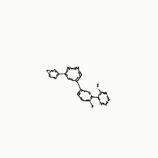 Fc1ccc(-c2cnnc(-c3ccoc3)c2)cc1-c1ncccc1F